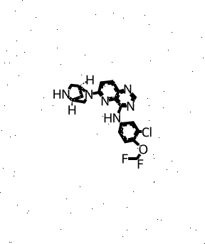 FC(F)Oc1ccc(Nc2ncnc3ccc(N4C[C@@H]5C[C@H]4CN5)nc23)cc1Cl